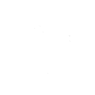 CN1CCC(Oc2ccc(-c3n[nH]c4ccc(C(=O)NCC5(N6CCOCC6)CCCCC5)cc34)cc2)CC1